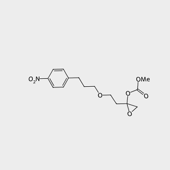 COC(=O)OC1(CCOCCCc2ccc([N+](=O)[O-])cc2)CO1